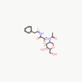 CC(=O)NC1COC(CO)[C@@H](O)[C@@H]1O[C@H](C)C(=O)N[C@@H](C)Cc1ccccc1